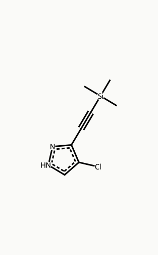 C[Si](C)(C)C#Cc1n[nH]cc1Cl